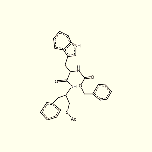 CC(=O)SCC(Cc1ccccc1)NC(=O)C(Cc1c[nH]c2ccccc12)NC(=O)OCc1ccccc1